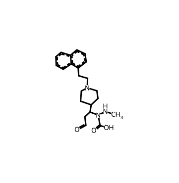 CNN(C(=O)O)C(CC=O)C1CCN(CCc2cccc3ccccc23)CC1